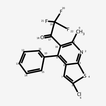 Cc1nc2sc(Cl)cc2c(-c2ccccc2)c1C(=O)C(F)(F)F